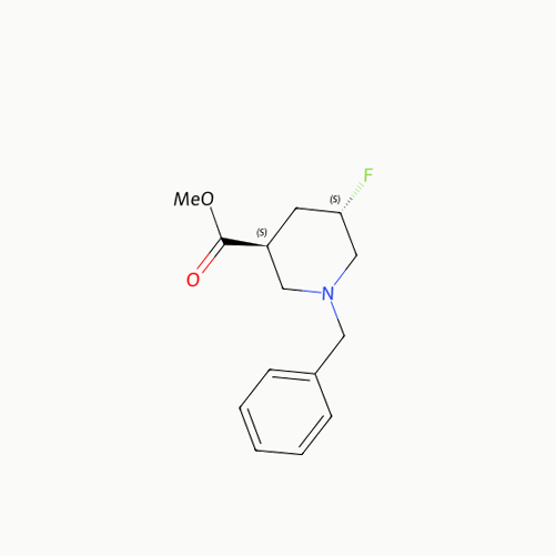 COC(=O)[C@H]1C[C@H](F)CN(Cc2ccccc2)C1